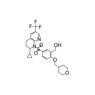 O=S(=O)(c1ccc(OCC2CCOCC2)c(CO)c1)N1c2ncc(C(F)(F)F)cc2CCC1C1CC1